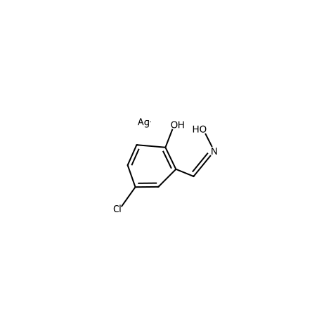 O/N=C\c1cc(Cl)ccc1O.[Ag]